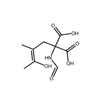 C/C(O)=C(\C)CC(NC=O)(C(=O)O)C(=O)O